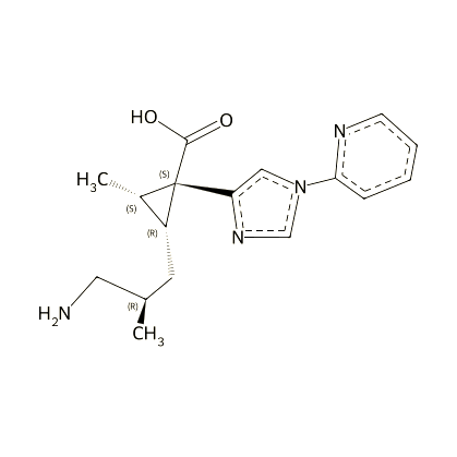 C[C@@H](CN)C[C@@H]1[C@H](C)[C@@]1(C(=O)O)c1cn(-c2ccccn2)cn1